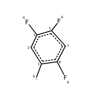 [CH]c1cc(F)c(F)cc1F